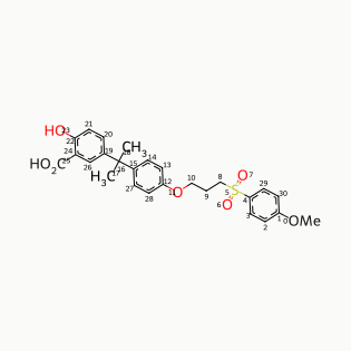 COc1ccc(S(=O)(=O)CCCOc2ccc(C(C)(C)c3ccc(O)c(C(=O)O)c3)cc2)cc1